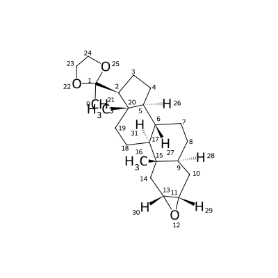 CC1([C@H]2CC[C@H]3[C@@H]4CC[C@H]5C[C@@H]6O[C@@H]6C[C@]5(C)[C@H]4CC[C@]23C)OCCO1